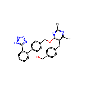 CCc1nc(CC)c(Cc2ccc(CO)cc2)c(OCc2ccc(-c3ccccc3-c3nnn[nH]3)cc2)n1